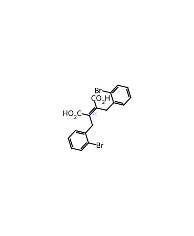 O=C(O)/C(Cc1ccccc1Br)=C(/Cc1ccccc1Br)C(=O)O